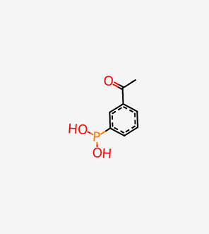 CC(=O)c1cccc(P(O)O)c1